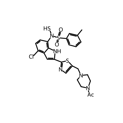 CC(=O)N1CCN(Cc2cnc(-c3cc4c(Cl)ccc(N(S)S(=O)(=O)c5cccc(C)c5)c4[nH]3)s2)CC1